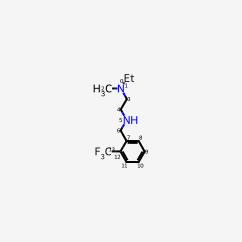 CCN(C)CCNCc1ccccc1C(F)(F)F